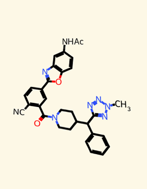 CC(=O)Nc1ccc2oc(-c3ccc(C#N)c(C(=O)N4CCC(C(c5ccccc5)c5nnn(C)n5)CC4)c3)nc2c1